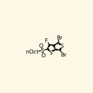 CCCCCCCCS(=O)(=O)c1sc2c(Br)sc(Br)c2c1F